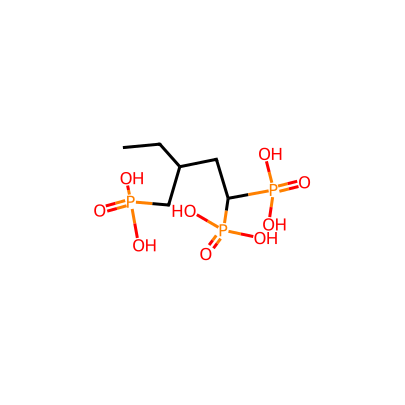 CCC(CC(P(=O)(O)O)P(=O)(O)O)CP(=O)(O)O